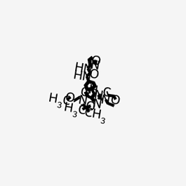 COCCN1CC(C)(C)Oc2nc(N3CCOC[C@@H]3C)nc(-c3ccc(NC(=O)Nc4ccon4)cc3)c2C1=O